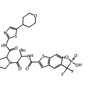 CC(C)(C)C(NC(=O)c1cc2cc(C(F)(F)P(=O)(O)O)ccc2s1)C(=O)N1CCCC1C(=O)Nc1ncc(C2CCOCC2)s1